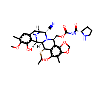 CCS[C@@H]1c2c(O)c(C)c3c(c2[C@H](COC(=O)NC(=O)[C@@H]2CCCN2)N2[C@@H]1[C@@H]1c4c(cc(C)c(OC)c4O)C[C@H]([C@@H]2C#N)N1C)OCO3